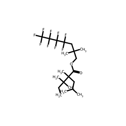 CCC(C)(C)C(C)(CC(C)C)C(=O)OCC(C)(C)CC(F)(F)C(F)(F)C(F)(F)C(F)(F)F